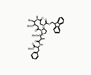 CCC(C)C(C(CC(=O)N1CCC[C@H]1[C@H](OC)C(C)C(=O)NC(Cc1ccccc1)C(=O)OC)OC)N(C)C(=O)CNC(=O)OCC1c2ccccc2-c2ccccc21